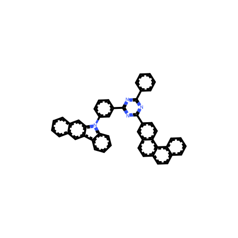 c1ccc(-c2nc(-c3cccc(-n4c5ccccc5c5cc6ccccc6cc54)c3)nc(-c3ccc4c(ccc5ccc6ccccc6c54)c3)n2)cc1